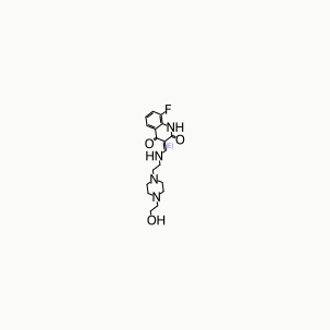 O=C1Nc2c(F)cccc2C(=O)/C1=C\NCCN1CCN(CCO)CC1